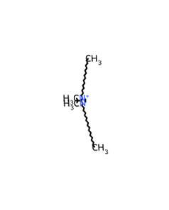 CCCCCCCCCCCCCCCCCCn1cc[n+](CCCCCCCCCCCCCCCC)c1C(C)C